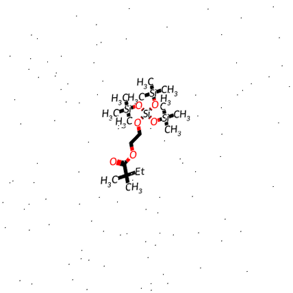 CCC(C)(C)C(=O)OCCO[Si](O[Si](C)(C)C)(O[Si](C)(C)C)O[Si](C)(C)C